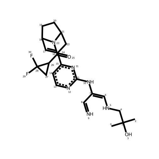 CC(C)(O)CN/C=C(\C=N)Nc1nccc(C2=CC3CCC(C2)N3C(=O)C2CC2(F)F)n1